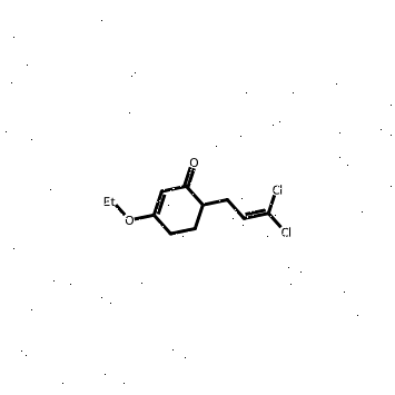 CCOC1=CC(=O)C(CC=C(Cl)Cl)CC1